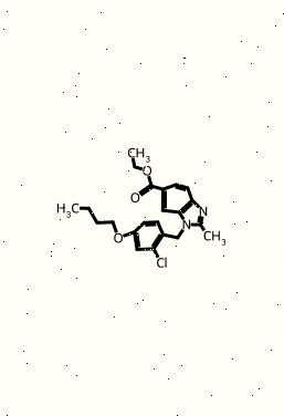 CCCCOc1ccc(Cn2c(C)nc3ccc(C(=O)OCC)cc32)c(Cl)c1